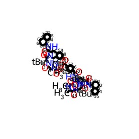 CC(C(=O)NC(C(=O)N1Cc2cc(OC(=O)c3ccc(C(=O)N[C@H]4C[C@@H](C(=O)N[C@@H]5CCCc6ccccc65)N(C(=O)C(NC(=O)C(C)N(C)C(=O)OC(C)(C)C)C(C)(C)C)C4)cc3)ccc2CC1C(=O)N[C@@H]1CCCc2ccccc21)C(C)(C)C)N(C)C(=O)OC(C)(C)C